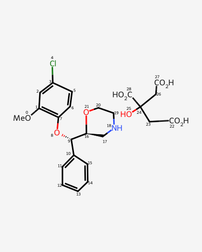 COc1cc(Cl)ccc1O[C@@H](c1ccccc1)[C@@H]1CNCCO1.O=C(O)CC(O)(CC(=O)O)C(=O)O